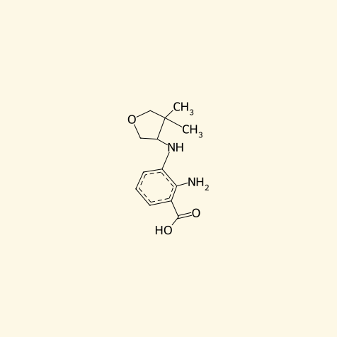 CC1(C)COCC1Nc1cccc(C(=O)O)c1N